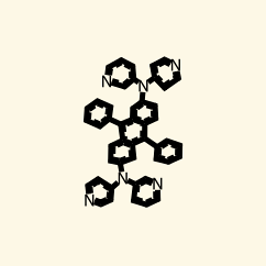 c1ccc(-c2c3ccc(N(c4ccncc4)c4cccnc4)cc3c(-c3ccccc3)c3ccc(N(c4ccncc4)c4cccnc4)cc23)cc1